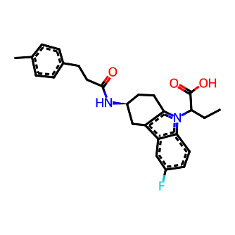 CCC(C(=O)O)n1c2c(c3cc(F)ccc31)C[C@@H](NC(=O)CCc1ccc(C)cc1)CC2